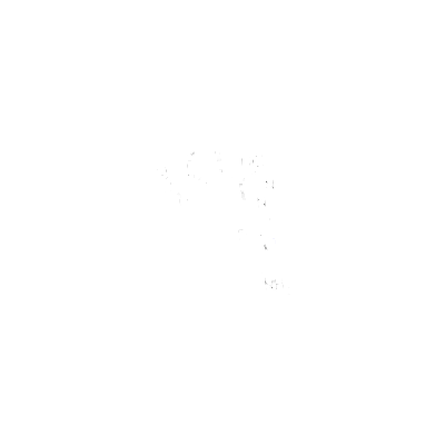 CS(=O)(=O)c1cccc(-c2cnn(C/C(F)=C/CN)c2)c1.Cl